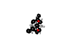 CC(C)(C)c1c(-c2ccc(F)cc2)c(-n2c3ccccc3c3c4sc5ccccc5c4ccc32)c(C(C)(C)C)c(-n2c3ccccc3c3c4sc5ccccc5c4ccc32)c1-c1ccc(F)cc1